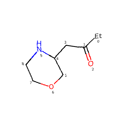 CCC(=O)CC1COCCN1